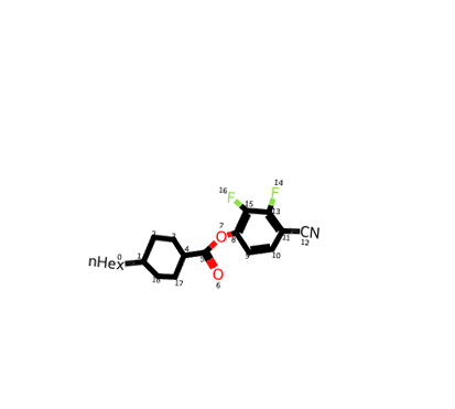 CCCCCCC1CCC(C(=O)Oc2ccc(C#N)c(F)c2F)CC1